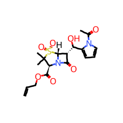 C=CCOC(=O)[C@@H]1N2C(=O)[C@@H](C(O)c3cccn3C(C)=O)[C@H]2S(=O)(=O)C1(C)C